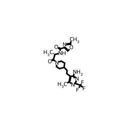 Cc1nc(C(=O)N[C@@H](C)C(=O)N2CCC(CCc3c(C)nc(C(F)(F)F)nc3N)CC2)co1